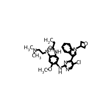 C=CC(=O)Nc1cc(Nc2ncc(Cl)c(-c3cn(C4COC4)c4ccccc34)n2)c(OC)cc1N(C)CCN(C)C